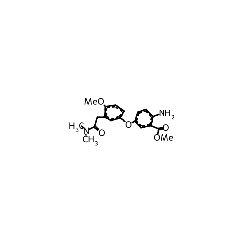 COC(=O)c1cc(Oc2ccc(OC)c(CC(=O)N(C)C)c2)ccc1N